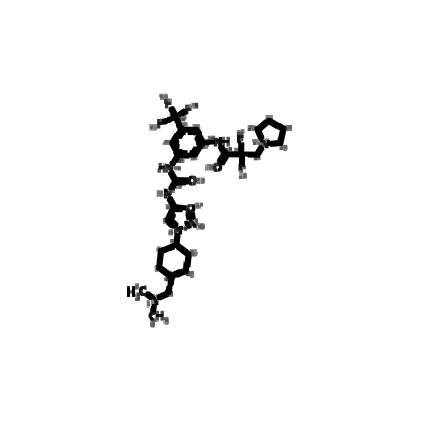 CN(C)CC1CCC([n+]2cc([N-]C(=O)Nc3cc(NC(=O)C(F)(F)CN4CCCC4)cc(C(F)(F)F)c3)on2)CC1